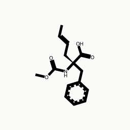 CC=CC[C@@](Cc1ccccc1)(NC(=O)OC)C(=O)O